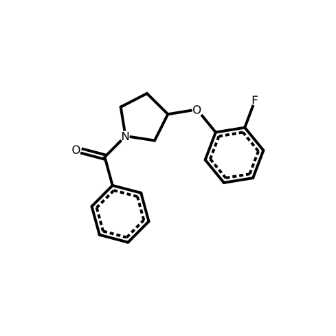 O=C(c1ccccc1)N1CCC(Oc2ccccc2F)C1